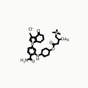 CC(=O)OC(CC(=O)OC1CCC(Nc2cc(-n3cc(C)c4c3CCCC4=O)ccc2C(N)=O)CC1)C[N+](C)(C)C.[Cl-]